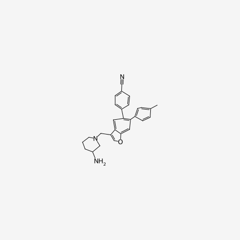 Cc1ccc(-c2cc3occ(CN4CCCC(N)C4)c3cc2-c2ccc(C#N)cc2)cc1